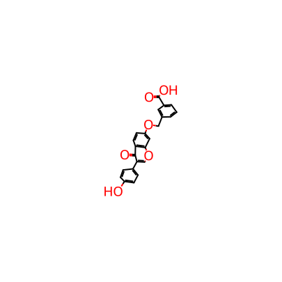 O=C(O)c1cccc(COc2ccc3c(=O)c(-c4ccc(O)cc4)coc3c2)c1